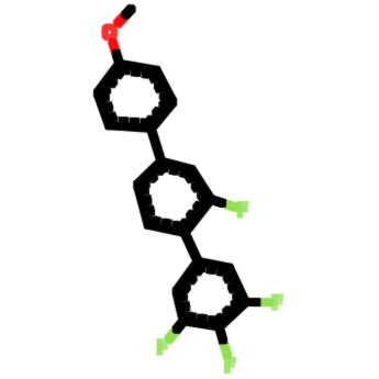 COc1ccc(-c2ccc(-c3cc(F)c(F)c(F)c3)c(F)c2)cc1